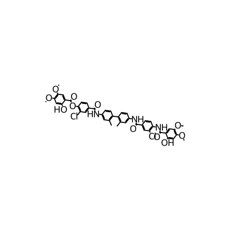 COc1cc(O)c(C(=O)Nc2ccc(C(=O)Nc3ccc(-c4ccc(NC(=O)c5ccc(OC(=O)c6cc(OC)c(OC)cc6O)c(Cl)c5)cc4C)c(C)c3)cc2Cl)cc1OC